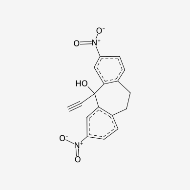 C#CC1(O)c2cc([N+](=O)[O-])ccc2CCc2ccc([N+](=O)[O-])cc21